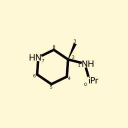 CC(C)N[C@]1(C)CCCNC1